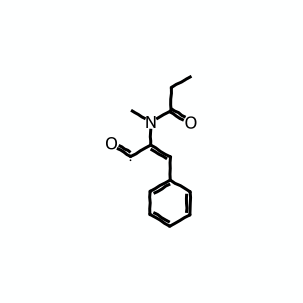 CCC(=O)N(C)C([C]=O)=Cc1ccccc1